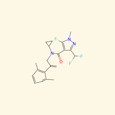 C=C(CN(C(=O)c1c(C(F)F)nn(C)c1F)C1CC1)c1c(C)cccc1C